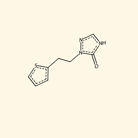 O=c1[nH]cnn1CCc1cccs1